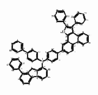 c1ccc(-c2ccc(N(c3ccc(-c4ccc5c6ccccc6c6c(-c7ccccc7)c(-c7ccccc7)oc6c5c4)cc3)c3cccc4c3Cc3c(-c5ccccc5)cccc3-4)cc2)cc1